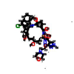 CO[C@H]1/C=C/[C@H](OC)[C@H](C)C[S@@](=O)(NC(=O)c2cn(C)nc2OCCN2CCOCC2)=NC(=O)c2ccc3c(c2)N(C[C@@H]2CC[C@H]21)C[C@@]1(CCCc2cc(Cl)ccc21)CO3